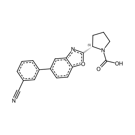 N#Cc1cccc(-c2ccc3oc([C@@H]4CCCN4C(=O)O)nc3c2)c1